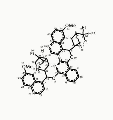 CC[C@@H]1C[N@]2CCC1CC2C(Oc1nnc(OC(c2ccnc3ccc(OC)cc23)C2CC3CC[N@@]2C[C@H]3CC)c2ccccc12)c1ccnc2ccc(OC)cc12